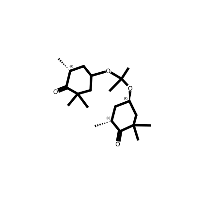 C[C@@H]1CC(OC(C)(C)O[C@@H]2C[C@@H](C)C(=O)C(C)(C)C2)CC(C)(C)C1=O